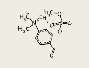 COS(=O)(=O)[O-].C[N+](C)(C)c1ccc(C=O)cc1